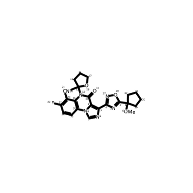 COC1(c2nc(-c3ncn4c3c(=O)n(C3(C)CCCO3)c3c(C#N)c(F)ccc34)no2)CCCC1